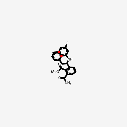 COC(=O)C1=C(C(N)=O)C2C=CC1(C(Cc1ccccc1)Nc1cc(F)cc(Cl)c1)O2